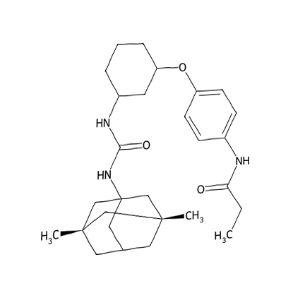 CCC(=O)Nc1ccc(OC2CCCC(NC(=O)NC34CC5C[C@@](C)(C3)C[C@](C)(C5)C4)C2)cc1